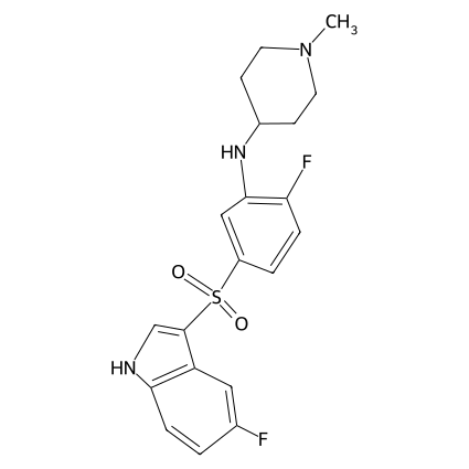 CN1CCC(Nc2cc(S(=O)(=O)c3c[nH]c4ccc(F)cc34)ccc2F)CC1